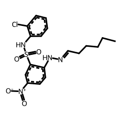 CCCCC/C=N/Nc1ccc([N+](=O)[O-])cc1S(=O)(=O)Nc1ccccc1Cl